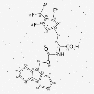 O=C(NC(CCc1cc(F)c(C(F)F)c(F)c1)C(=O)O)OCC1c2ccccc2-c2ccccc21